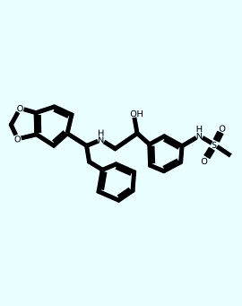 CS(=O)(=O)Nc1cccc(C(O)CNC(Cc2ccccc2)c2ccc3c(c2)OCO3)c1